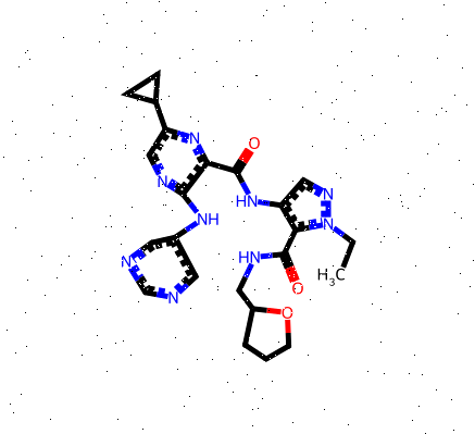 CCn1ncc(NC(=O)c2nc(C3CC3)cnc2Nc2cncnc2)c1C(=O)NCC1CCCO1